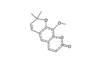 COc1c2c(cc3ccc(=O)oc13)C=CC(C)(C)O2